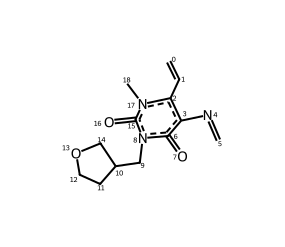 C=Cc1c(N=C)c(=O)n(CC2CCOC2)c(=O)n1C